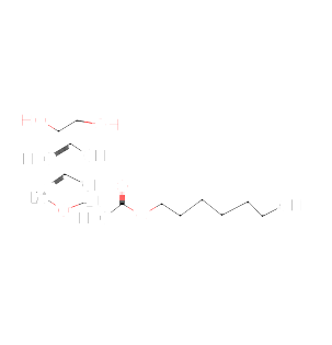 C=CC.C=CC.CCCCCCCOC(C)=O.CCOCC.OCCO